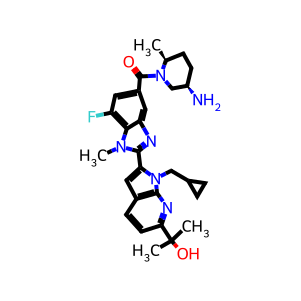 C[C@H]1CC[C@@H](N)CN1C(=O)c1cc(F)c2c(c1)nc(-c1cc3ccc(C(C)(C)O)nc3n1CC1CC1)n2C